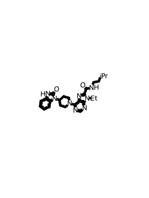 CCn1c(C(=O)NCCC(C)C)nc2c(N3CCC(n4c(=O)[nH]c5ccccc54)CC3)ncnc21